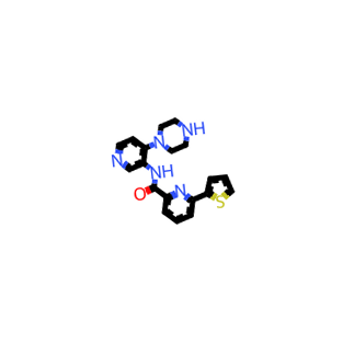 O=C(Nc1cnccc1N1CCNCC1)c1cccc(-c2cccs2)n1